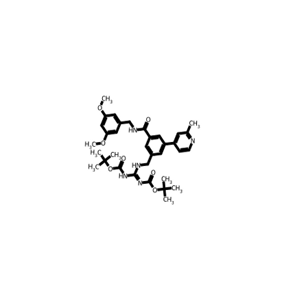 COc1cc(CNC(=O)c2cc(CN/C(=N\C(=O)OC(C)(C)C)NC(=O)OC(C)(C)C)cc(-c3ccnc(C)c3)c2)cc(OC)c1